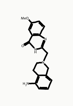 COc1ccc2nc(CN3CCc4c(N)cccc4C3)[nH]c(=O)c2c1